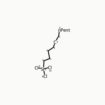 CCCCCCCCCCC[Si](Cl)(Cl)Cl